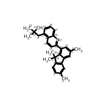 Cc1ccc2c(c1)-c1cc(C)cc(-c3ccc4c(CC(C)(C)C)cccc4n3)c1C2(C)C